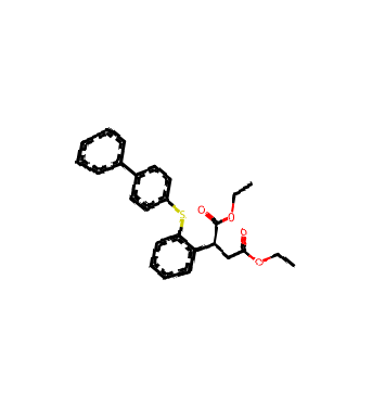 CCOC(=O)CC(C(=O)OCC)c1ccccc1Sc1ccc(-c2ccccc2)cc1